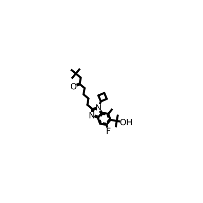 Cc1c(C(C)(C)O)c(F)cc2nc(CCCCC(=O)CC(C)(C)C)n(C3CCC3)c12